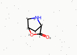 O=C1OC2CNC1C2